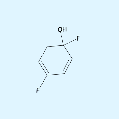 OC1(F)C=CC(F)=CC1